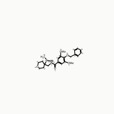 COc1cc(C(=O)NCC2(N(C)C)CCOCC2)cc(OC)c1OCc1ccccc1